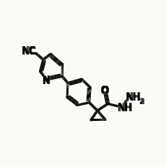 N#Cc1ccc(-c2ccc(C3(C(=O)NN)CC3)cc2)nc1